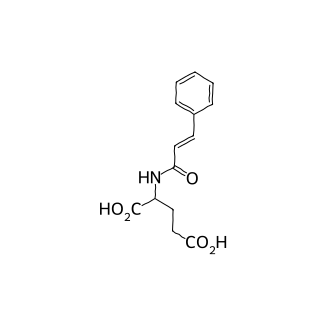 O=C(O)CCC(NC(=O)/C=C/c1ccccc1)C(=O)O